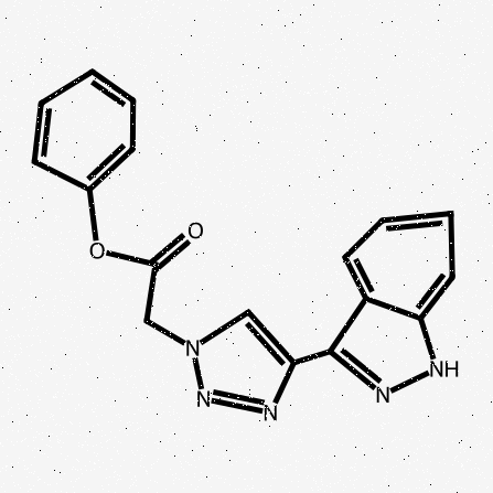 O=C(Cn1cc(-c2n[nH]c3ccccc23)nn1)Oc1ccccc1